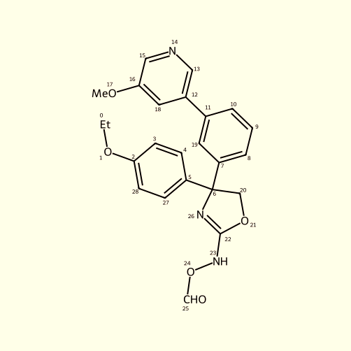 CCOc1ccc(C2(c3cccc(-c4cncc(OC)c4)c3)COC(NOC=O)=N2)cc1